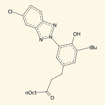 CCCCCCCCC(=O)CCc1cc(-n2nc3ccc(Cl)cc3n2)c(O)c(C(C)(C)C)c1